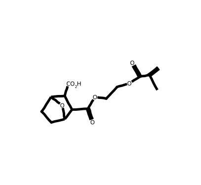 C=C(C)C(=O)OCCOC(=O)C1C2CCC(O2)C1C(=O)O